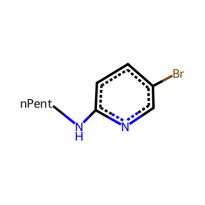 CCCCCNc1ccc(Br)cn1